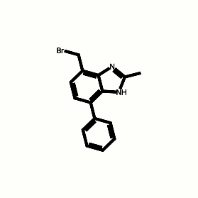 Cc1nc2c(CBr)ccc(-c3ccccc3)c2[nH]1